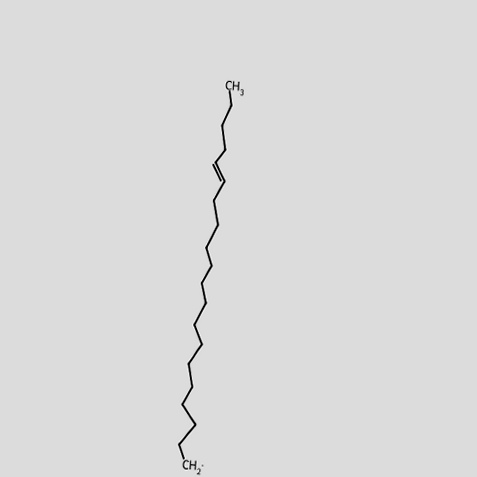 [CH2]CCCCCCCCCCCCCC=CCCCC